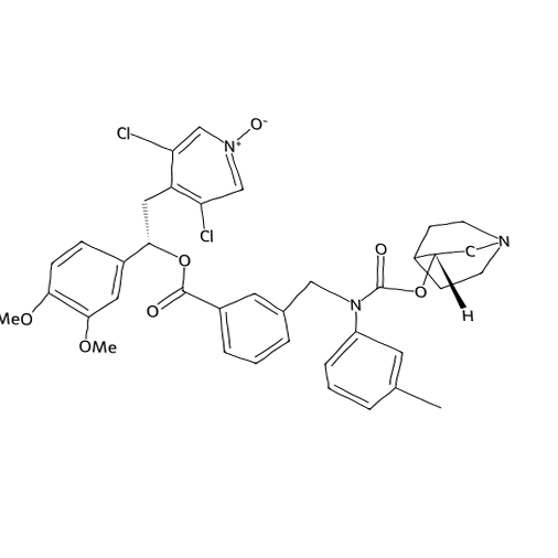 COc1ccc([C@H](Cc2c(Cl)c[n+]([O-])cc2Cl)OC(=O)c2cccc(CN(C(=O)O[C@H]3CN4CCC3CC4)c3cccc(C)c3)c2)cc1OC